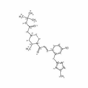 Cc1nnn(Cc2cc(Cl)ccc2C=CC(=O)N2CCN(CC(=O)OC(C)(C)C)CC2C)n1